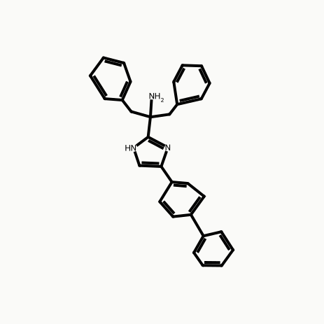 NC(Cc1ccccc1)(Cc1ccccc1)c1nc(-c2ccc(-c3ccccc3)cc2)c[nH]1